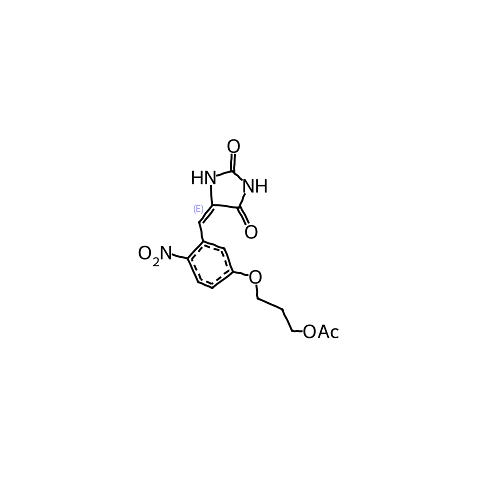 CC(=O)OCCCOc1ccc([N+](=O)[O-])c(/C=C2/NC(=O)NC2=O)c1